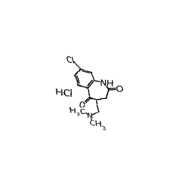 CN(C)CC1CC(=O)Nc2cc(Cl)ccc2C1=O.Cl